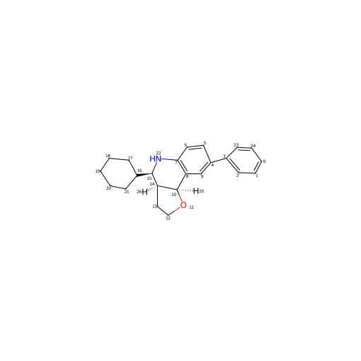 c1ccc(-c2ccc3c(c2)[C@H]2OCC[C@H]2[C@@H](C2CCCCC2)N3)cc1